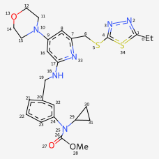 CCc1nnc(SCc2cc(N3CCOCC3)cc(NCc3cccc(N(C(=O)OC)C4CC4)c3)n2)s1